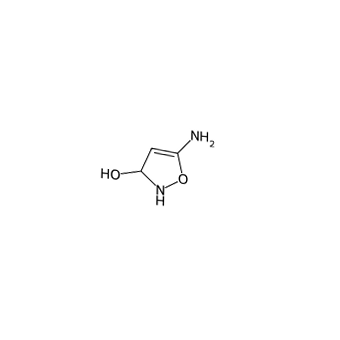 NC1=CC(O)NO1